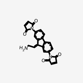 NCC=C1c2cc(N3C(=O)C=CC3=O)ccc2-c2ccc(N3C(=O)C=CC3=O)cc21